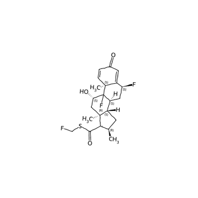 C[C@@H]1C[C@H]2[C@@H]3C[C@H](F)C4=CC(=O)C=C[C@]4(C)C3(F)[C@@H](O)C[C@]2(C)[C]1C(=O)SCF